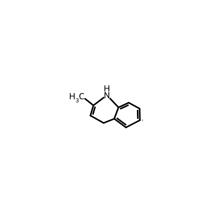 CC1=CCc2c[c]ccc2N1